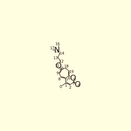 Cc1cc(=O)oc2c1=CC=C(OCCCN(C)C)CC=2